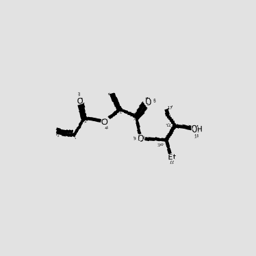 C=CC(=O)OC(=C)C(=O)OC(CC)C(C)O